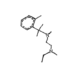 CCN(C)CCN(C)C(C)(C)c1ccccc1C